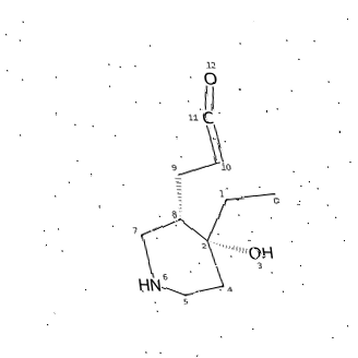 CC[C@@]1(O)CCNC[C@@H]1CC=C=O